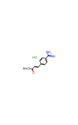 COC(=O)C=Cc1ccc(C(=N)N)cc1.Cl